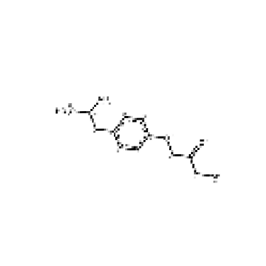 CC(=O)CC(=O)COc1ccc(CC(N)C(=O)O)cc1